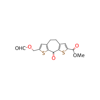 COC(=O)c1cc2c(s1)C(=O)c1sc(COC=O)cc1CC2